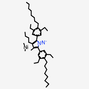 CCCCCCCCc1c(CC)cc(C2=C(C)C(CCCC)=C(c3cc(CC)c(CCCCCCCC)c(CC)c3)[N+]2=[N-])cc1CC.[CH3][Ni][CH3]